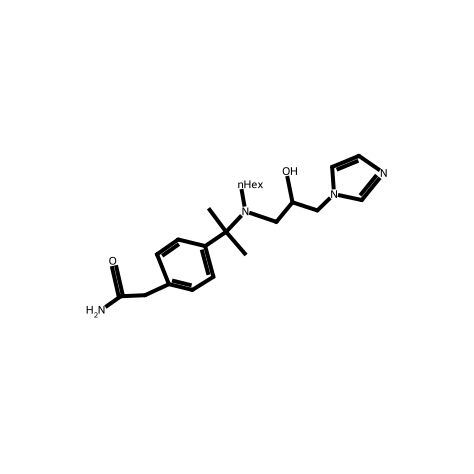 CCCCCCN(CC(O)Cn1ccnc1)C(C)(C)c1ccc(CC(N)=O)cc1